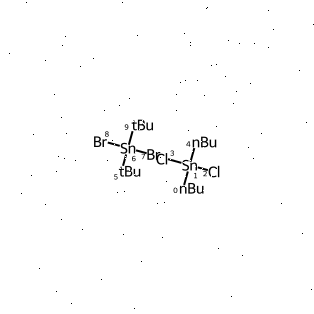 CCC[CH2][Sn]([Cl])([Cl])[CH2]CCC.C[C](C)(C)[Sn]([Br])([Br])[C](C)(C)C